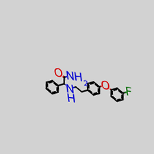 NC(=O)[C@H](NCCc1ccc(Oc2cccc(F)c2)cc1)c1ccccc1